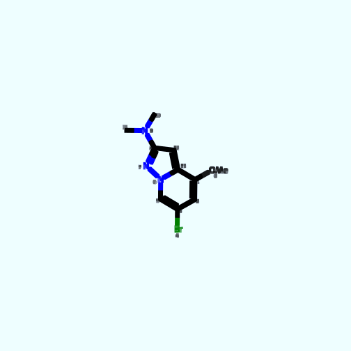 COc1cc(Br)cn2nc(N(C)C)cc12